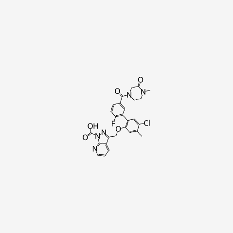 Cc1cc(OCc2nn(C(=O)O)c3ncccc23)c(-c2cc(C(=O)N3CCN(C)C(=O)C3)ccc2F)cc1Cl